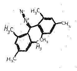 Cc1cc(C)c(C(=[N+]=[N-])c2c(C)cc(C)cc2C)c(C)c1